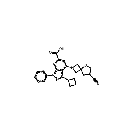 N#CC1COC2(C1)CN(c1cc(C(=O)O)nc3c1c(C1CCC1)nn3-c1ccccc1)C2